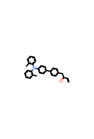 C=CC(=O)Cc1ccc(-c2ccc(N(c3ccccc3C)c3ccccc3C)cc2)cc1